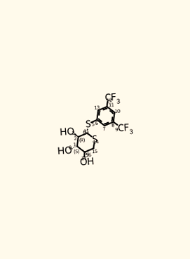 O[C@@H]1[C@@H](O)[C@H](Sc2cc(C(F)(F)F)cc(C(F)(F)F)c2)SC[C@H]1O